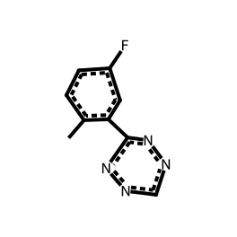 Cc1ccc(F)cc1-c1nncnn1